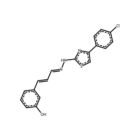 Oc1cccc(/C=C/C=N/Nc2nc(-c3ccc(Cl)cc3)cs2)c1